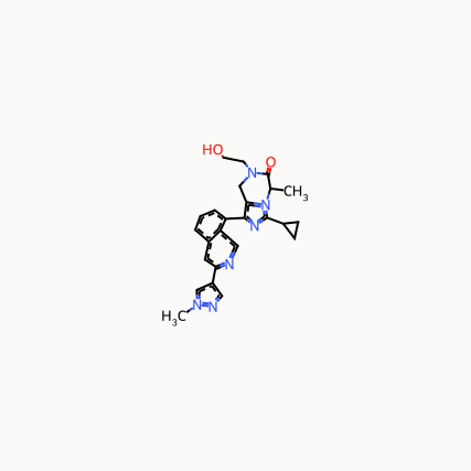 CC1C(=O)N(CCO)Cc2c(-c3cccc4cc(-c5cnn(C)c5)ncc34)nc(C3CC3)n21